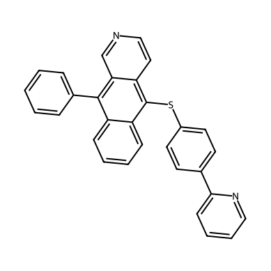 c1ccc(-c2c3ccccc3c(Sc3ccc(-c4ccccn4)cc3)c3ccncc23)cc1